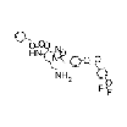 NCCCCC(NC(=O)OCc1ccccc1)C(=O)c1noc(Cc2ccc(OCC(=O)c3ccc(OC(F)F)cc3)cc2)n1